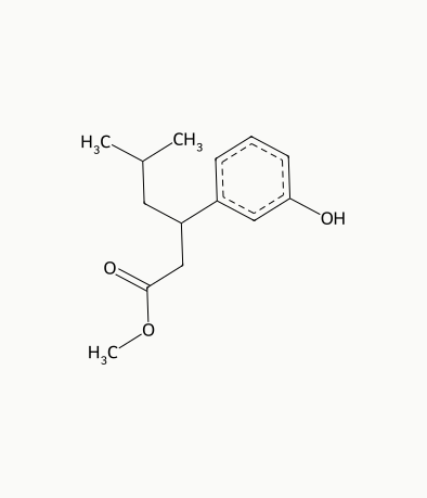 COC(=O)CC(CC(C)C)c1cccc(O)c1